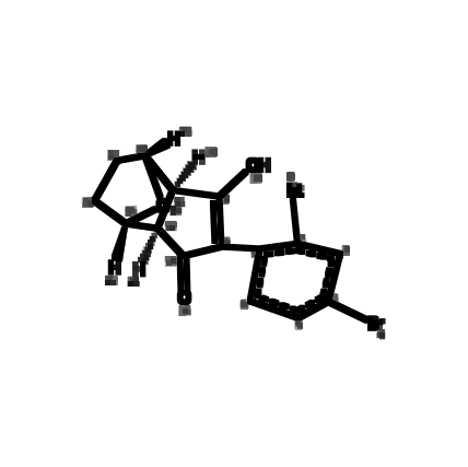 CCc1cc(Br)ccc1C1=C(O)[C@H]2[C@@H](C1=O)[C@@H]1CC[C@H]2O1